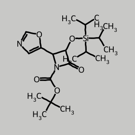 CC(C)[Si](OC1C(=O)N(C(=O)OC(C)(C)C)C1c1cnco1)(C(C)C)C(C)C